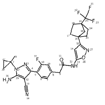 CC1(n2nc(-c3ccc(CC(=O)Nc4cc(C56CCC(C(F)(F)F)(CC5)C6)no4)cc3F)c(C#N)c2N)CC1